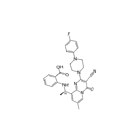 Cc1cc([C@@H](C)Nc2ccccc2C(=O)O)c2nc(N3CCN(c4ccc(F)cc4)CC3)c(C#N)c(=O)n2c1